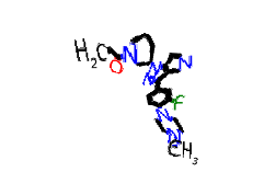 C=CC(=O)N1CCCC(n2nc(-c3ccc(N4CCN(C)CC4)c(F)c3)c3cnccc32)C1